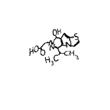 CC(C)C1=NN(CC(=O)O)C(O)c2cc3sccn3c21